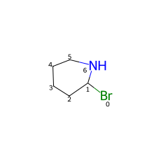 BrC1CCCCN1